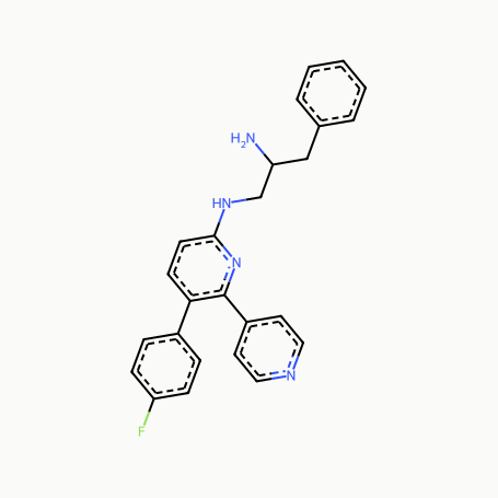 NC(CNc1ccc(-c2ccc(F)cc2)c(-c2ccncc2)n1)Cc1ccccc1